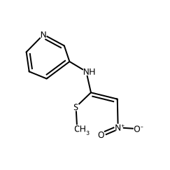 CSC(=C[N+](=O)[O-])Nc1cccnc1